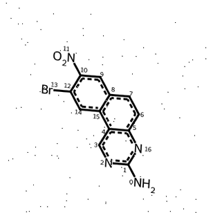 Nc1ncc2c(ccc3cc([N+](=O)[O-])c(Br)cc32)n1